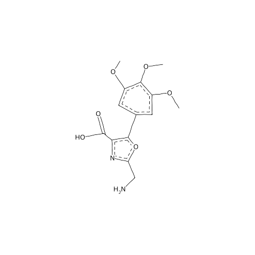 COc1cc(-c2oc(CN)nc2C(=O)O)cc(OC)c1OC